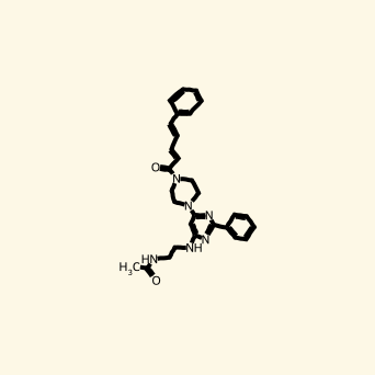 CC(=O)NCCNc1cc(N2CCN(C(=O)/C=C/C=C/c3ccccc3)CC2)nc(-c2ccccc2)n1